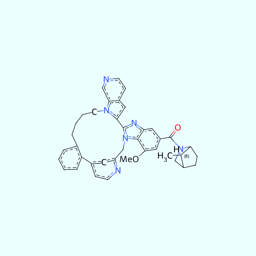 COc1cc(C(=O)N2CC3CCC2[C@@H]3C)cc2nc3n(c12)Cc1cc(ccn1)-c1ccccc1CCCCn1c-3cc2ccncc21